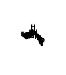 CCCCOC(=O)N1CCN(c2ccc(-c3cnc4[nH]cc(C(=O)c5c(F)ccc(NS(=O)(=O)N6CC[C@@H](F)C6)c5F)c4c3)cn2)CC1